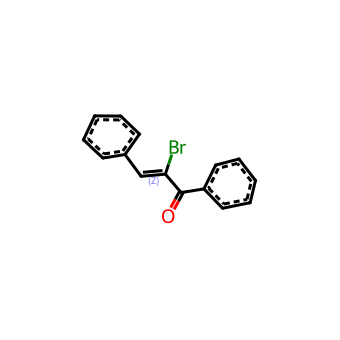 O=C(/C(Br)=C/c1ccccc1)c1ccccc1